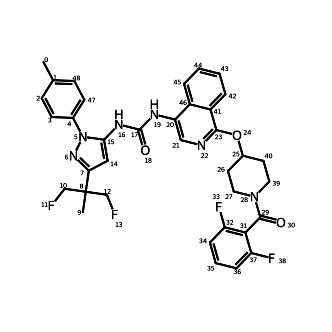 Cc1ccc(-n2nc(C(C)(CF)CF)cc2NC(=O)Nc2cnc(OC3CCN(C(=O)c4c(F)cccc4F)CC3)c3ccccc23)cc1